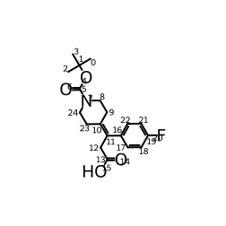 CC(C)(C)OC(=O)N1CCC(=C(CC(=O)O)c2ccc(F)cc2)CC1